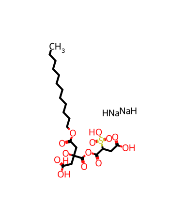 CCCCCCCCCCCCOC(=O)CC(O)(CC(=O)O)C(=O)OC(=O)C(CC(=O)O)S(=O)(=O)O.[NaH].[NaH]